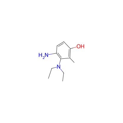 CCN(CC)c1c(N)ccc(O)c1C